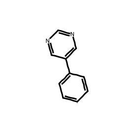 [c]1ccc(-c2cncnc2)cc1